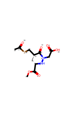 COC(=O)CNN(CC(=O)O)C(=O)[C@H](C)CSC(C)=O